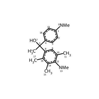 CNc1ccc(C(C)(O)c2cc(C)c(NC)c(C)c2C)cc1